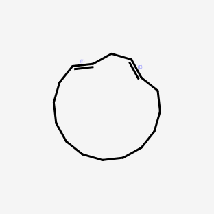 C1=C/CCCCCCCCCCC/C=C/C/1